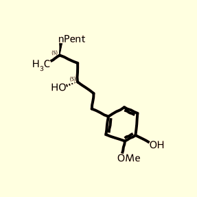 CCCCC[C@H](C)C[C@@H](O)CCc1ccc(O)c(OC)c1